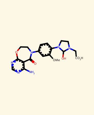 COc1cc(N2CCOc3ncnc(N)c3C2=O)ccc1N1CCN(CC(=O)O)C1O